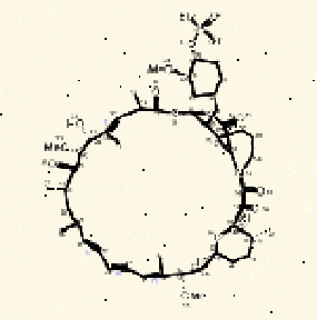 CCP(=O)(CC)O[C@@H]1CC[C@@H](CC2C3CC(=O)C(C)/C=C(\C)[C@@H](O)[C@@H](OC)C(=O)[C@H](C)CC(C)/C=C/C=C/C=C(\C)[C@@H](OC)C[C@@H]4CC[C@@H](C)[C@@](O)(O4)C(=O)C(=O)N4CCC[C@H]2C4C(=O)O3)C[C@H]1OC